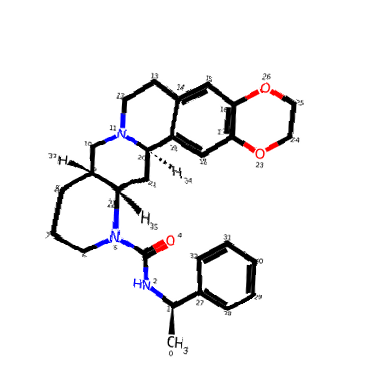 C[C@@H](NC(=O)N1CCC[C@@H]2CN3CCc4cc5c(cc4[C@H]3C[C@@H]21)OCCO5)c1ccccc1